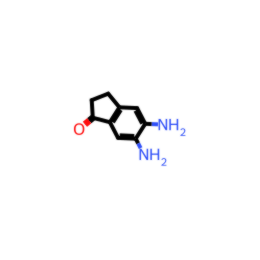 Nc1cc2c(cc1N)C(=O)CC2